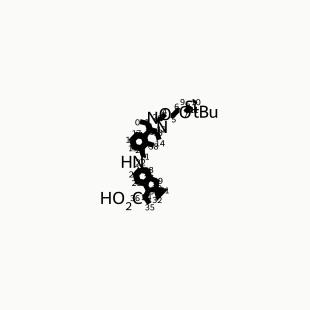 Cc1nc(OCCO[Si](C)(C)C(C)(C)C)nc(C)c1-c1cccc(CNc2ccc3c(c2)CC2(CC2)C3C(C)C(=O)O)c1C